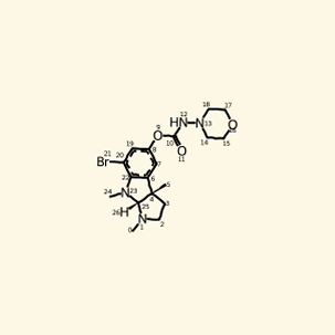 CN1CC[C@@]2(C)c3cc(OC(=O)NN4CCOCC4)cc(Br)c3N(C)[C@@H]12